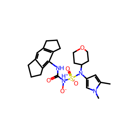 Cc1cc(N(C2CCOCC2)S(=O)(=O)[NH+]([O-])C(=O)Nc2c3c(cc4c2CCC4)CCC3)cn1C